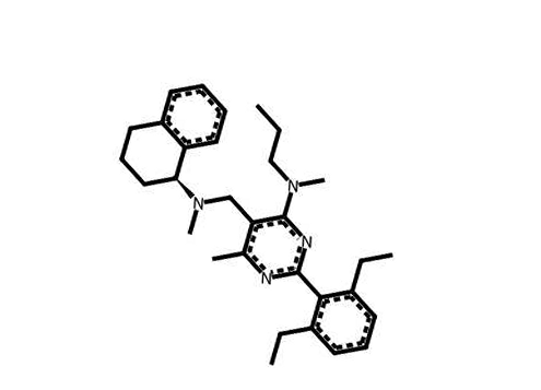 CCCN(C)c1nc(-c2c(CC)cccc2CC)nc(C)c1CN(C)[C@H]1CCCc2ccccc21